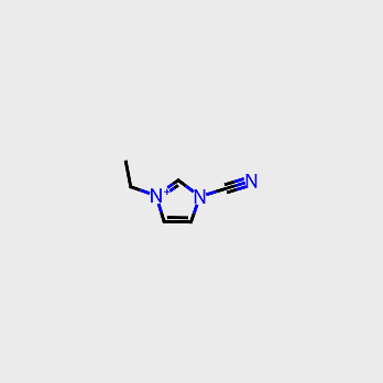 CC[n+]1ccn(C#N)c1